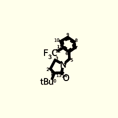 CC(C)(C)C1CCN(Cc2ccccc2C(F)(F)F)C1=O